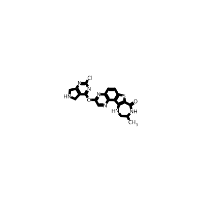 CC1CNc2c(sc3ccc4nc(Oc5nc(Cl)nc6c5CNC6)cnc4c23)C(=O)N1